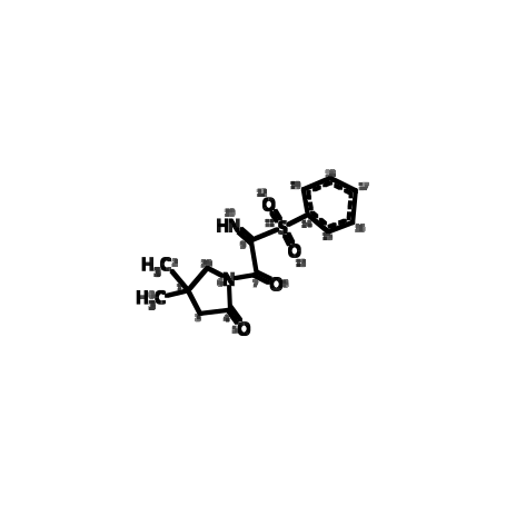 CC1(C)CC(=O)N(C(=O)C(=N)S(=O)(=O)c2ccccc2)C1